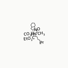 CCOC(=O)C(CCCC(C)C)N[C@@H](C)C(=O)N1C2CCCCC2C[C@H]1C(=O)O